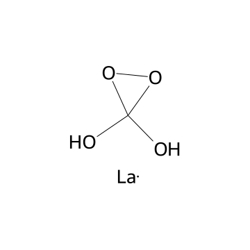 OC1(O)OO1.[La]